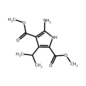 COC(=O)c1[nH]c(N)c(C(=O)OC)c1C(C)C